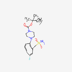 CC(C)(C)OC(=O)N1CCN(c2ccc(F)cc2S(N)(=O)=O)CC1